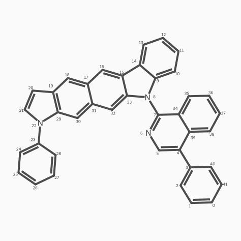 c1ccc(-c2cnc(-n3c4ccccc4c4cc5cc6ccn(-c7ccccc7)c6cc5cc43)c3ccccc23)cc1